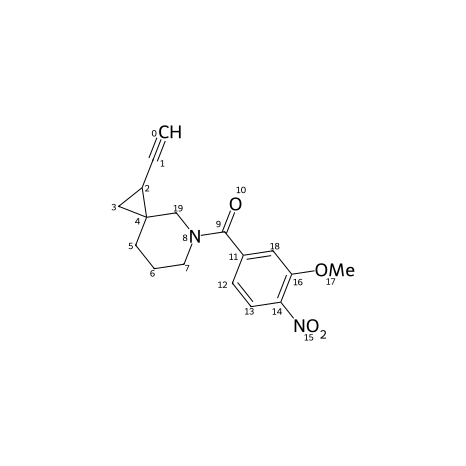 C#CC1CC12CCCN(C(=O)c1ccc([N+](=O)[O-])c(OC)c1)C2